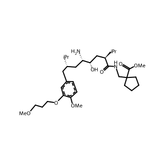 COCCCOc1cc(C[C@@H](C[C@H](N)[C@@H](O)C[C@H](C(=O)NCC2(C(=O)OC)CCCC2)C(C)C)C(C)C)ccc1OC